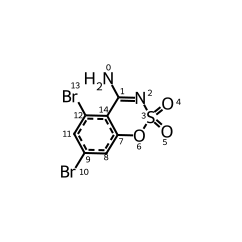 NC1=NS(=O)(=O)Oc2cc(Br)cc(Br)c21